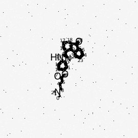 CN(C)CCCC(=O)Oc1ccc2[nH]c(-c3cccc4c3-c3ccccc3C4=O)nc2c1